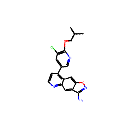 CC(C)COc1ncc(-c2ccnc3cc4c(N)noc4cc23)cc1Cl